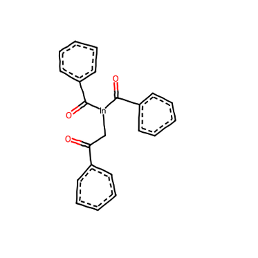 O=C([CH2][In]([C](=O)c1ccccc1)[C](=O)c1ccccc1)c1ccccc1